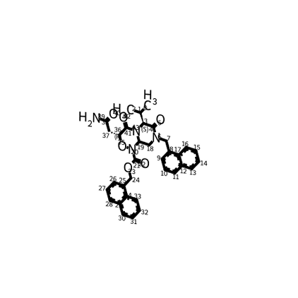 CC(C)[C@H]1C(=O)N(Cc2cccc3ccccc23)CC2N(C(=O)OCc3cccc4ccccc34)O[C@H](CC(N)=O)C(=O)N21